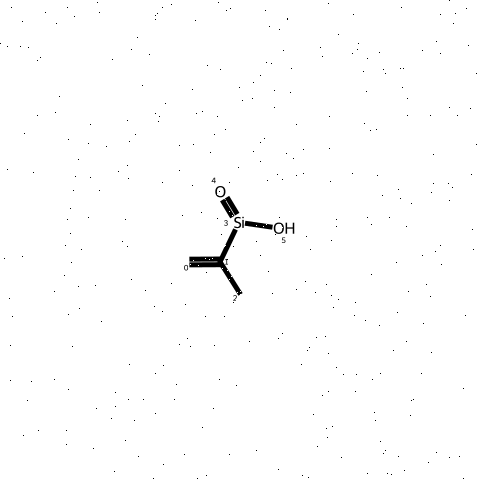 C=C(C)[Si](=O)O